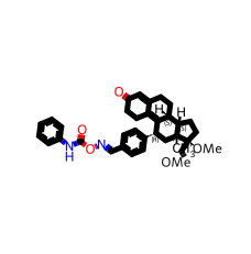 COC[C@]1(OC)CC[C@H]2[C@@H]3CCC4=CC(=O)CCC4=C3[C@@H](c3ccc(C=NOC(=O)Nc4ccccc4)cc3)C[C@@]21C